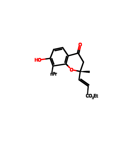 CCCc1c(O)ccc2c1O[C@@](C)(/C=C/C(=O)OCC)CC2=O